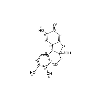 O=C1C=C2CC3(O)COc4c(ccc(O)c4O)C3C2C=C1O